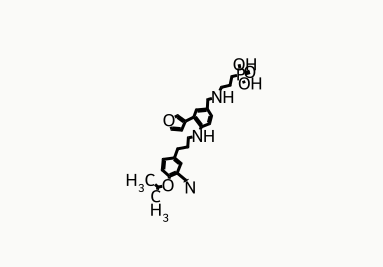 CC(C)Oc1ccc(CCCNc2ccc(CNCCCP(=O)(O)O)cc2-c2ccoc2)cc1C#N